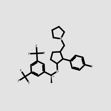 C[C@H](OC1CCC(CN2CCCC2)C1c1ccc(F)cc1)c1cc(C(F)(F)F)cc(C(F)(F)F)c1